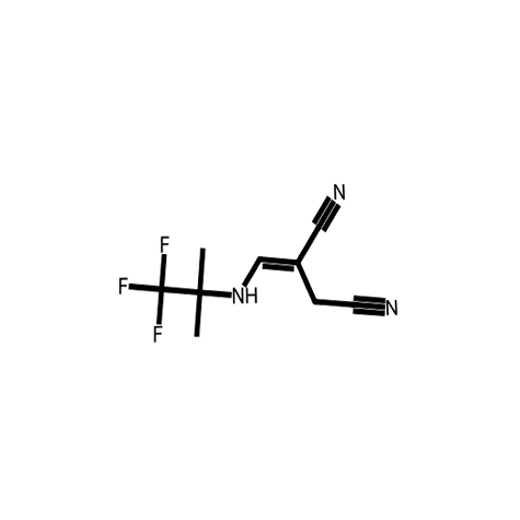 CC(C)(N/C=C(/C#N)CC#N)C(F)(F)F